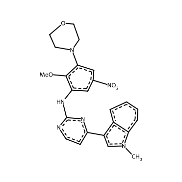 COc1c(Nc2nccc(-c3cn(C)c4ccccc34)n2)cc([N+](=O)[O-])cc1N1CCOCC1